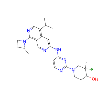 CC(C)c1cnc(N2CCC2C)c2cnc(Nc3ccnc(N4CCC(O)C(C)(F)C4)n3)cc12